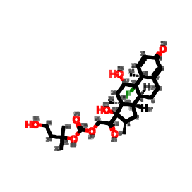 C[C@@H]1C[C@H]2[C@@H]3CCC4=CC(=O)C=C[C@]4(C)[C@@]3(F)[C@@H](O)C[C@]2(C)[C@@]1(O)C(=O)COC(=O)OC(C)(C)CCO